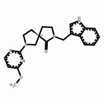 COc1ccnc(N2CC[C@]3(CCN(Cc4c[nH]c5ccccc45)C3=O)C2)n1